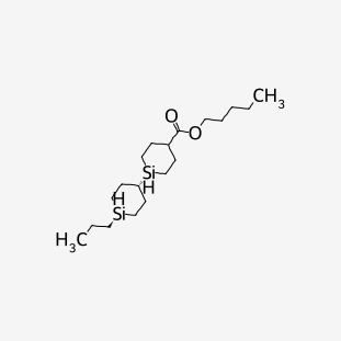 CCCCCOC(=O)C1CC[SiH]([C@H]2CC[Si@H](CCC)CC2)CC1